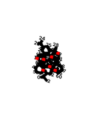 CC(C)c1cc(C(C)C)c(-c2cccc(-c3c(C(C)C)cc(C(C)C)cc3C(C)C)c2C2([P]([Pd][c]3ccccc3-c3ccccc3N)C3CCCCC3)CCCCC2)c(C(C)C)c1